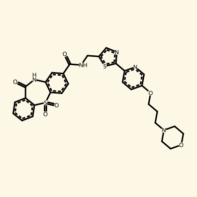 O=C(NCc1cnc(-c2ccc(OCCCN3CCOCC3)cn2)s1)c1ccc2c(c1)NC(=O)c1ccccc1S2(=O)=O